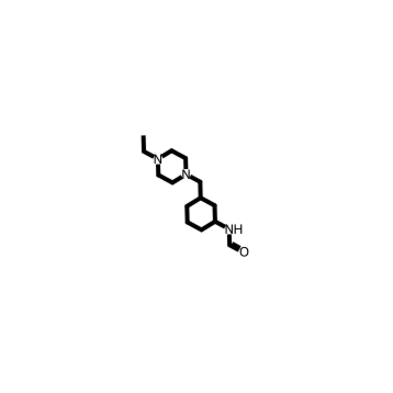 CCN1CCN(CC2CCCC(NC=O)C2)CC1